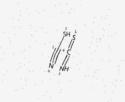 N#CS.N=C=S